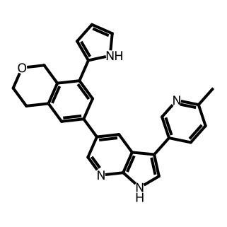 Cc1ccc(-c2c[nH]c3ncc(-c4cc5c(c(-c6ccc[nH]6)c4)COCC5)cc23)cn1